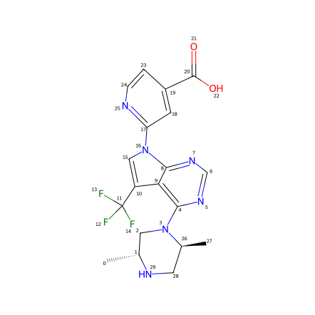 C[C@@H]1CN(c2ncnc3c2c(C(F)(F)F)cn3-c2cc(C(=O)O)ccn2)[C@@H](C)CN1